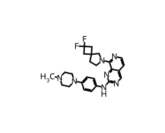 CN1CCN(c2ccc(Nc3ncc4ccnc(N5CCC6(C5)CC(F)(F)C6)c4n3)cc2)CC1